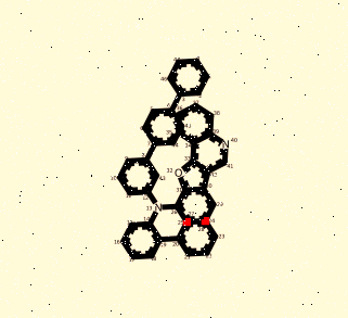 c1ccc(-c2ccc(-c3cccc(N(c4ccccc4-c4ccccc4)c4cccc5c4oc4c6ccccc6ncc54)c3)cc2)cc1